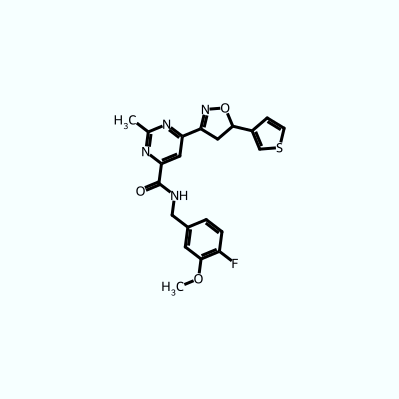 COc1cc(CNC(=O)c2cc(C3=NOC(c4ccsc4)C3)nc(C)n2)ccc1F